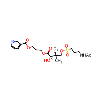 CC(=O)NCCCS(=O)(=O)OCC(C)(C)[C@@H](O)C(=O)OCCCOC(=O)c1cccnc1